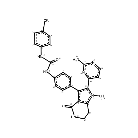 Cn1c2c(c(-c3ccc(NC(=O)Nc4ccc(C(F)(F)F)cc4)cc3)c1-c1ccnc(N)n1)C(=O)NCC2